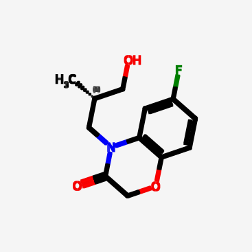 C[C@H](CO)CN1C(=O)COc2ccc(F)cc21